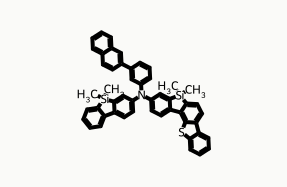 C[Si]1(C)c2ccccc2-c2ccc(N(c3cccc(-c4ccc5ccccc5c4)c3)c3ccc4c(c3)[Si](C)(C)c3ccc5c(sc6ccccc65)c3-4)cc21